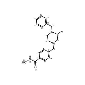 CC1CN(Cc2ccc(C(=O)NO)cc2)CCN1Cc1ccccc1